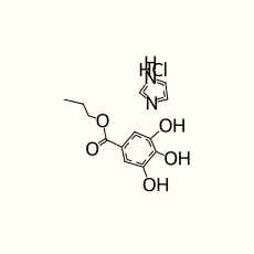 CCCOC(=O)c1cc(O)c(O)c(O)c1.Cl.c1c[nH]cn1